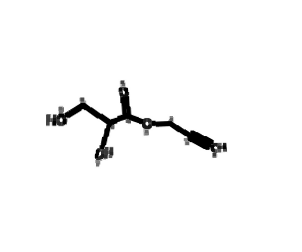 C#CCOC(=O)C(O)CO